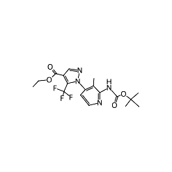 CCOC(=O)c1cnn(-c2ccnc(NC(=O)OC(C)(C)C)c2C)c1C(F)(F)F